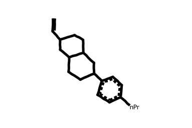 C=CC1CCC2CC(c3ccc(CCC)cc3)CCC2C1